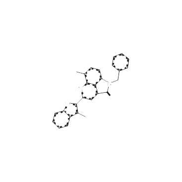 Cc1c(-c2cc3c4c(ccc(C)c4n2)N(Cc2ccccc2)C3=O)oc2ccccc12